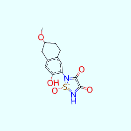 COC1CCc2cc(-n3c(=O)c(=O)[nH][s+]3[O-])c(O)cc2C1